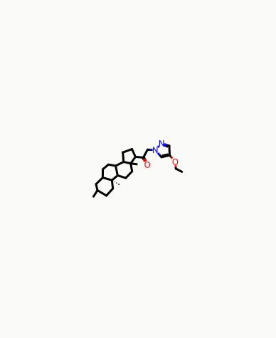 CCOc1cnn(CC(=O)C2CCC3C4CCC5CC(C)CC[C@]5(C)C4CCC23C)c1